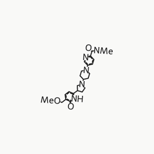 CNC(=O)c1ccc(N2CCC(N3CCC(c4ccc(COC)c(=O)[nH]4)C3)CC2)cn1